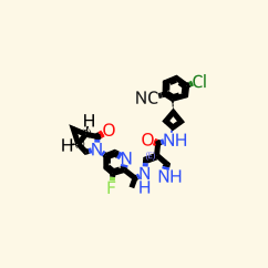 CC(N/C=C(\C=N)C(=O)N[C@H]1C[C@@H](c2cc(Cl)ccc2C#N)C1)c1ncc(N2C[C@H]3C[C@H]3C2=O)cc1F